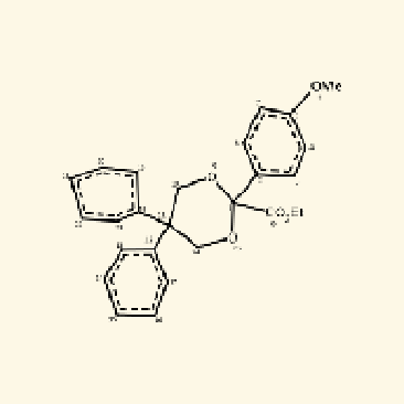 CCOC(=O)C1(c2ccc(OC)cc2)OCC(c2ccccc2)(c2ccccc2)CO1